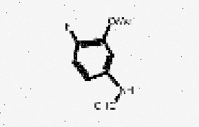 COc1cc(N[C]=O)ccc1F